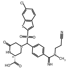 CN(CCC#N)C(=N)c1ccc(C(N2CC(=O)N[C@@H](C(=O)O)C2)S(=O)(=O)c2cc3ccc(Cl)cc3s2)cc1